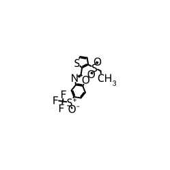 CCS(=O)(=O)c1ccsc1-c1nc2cc([S+]([O-])C(F)(F)F)ccc2o1